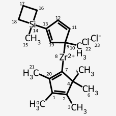 CC1=C(C)C(C)(C)[C]([Zr+2][C]2(C)C=CC([Si]3(C)CCC3)=C2)=C1C.[Cl-].[Cl-]